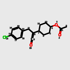 CC(=O)OC1CCC(C(=C=O)Cc2ccc(Cl)cc2)CC1